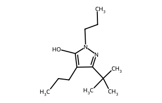 CCCc1c(C(C)(C)C)nn(CCC)c1O